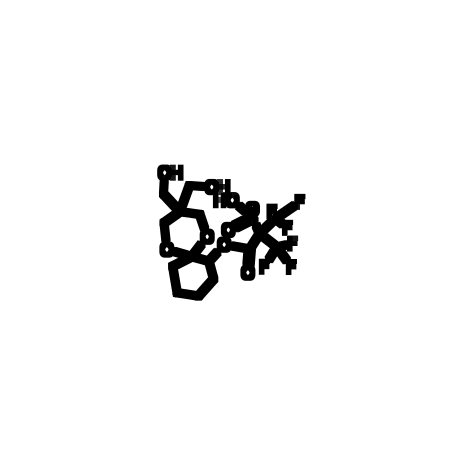 O=C(OC1CCCCC12OCC(CO)(CO)CO2)C(C(F)(F)F)(C(F)(F)F)S(=O)(=O)O